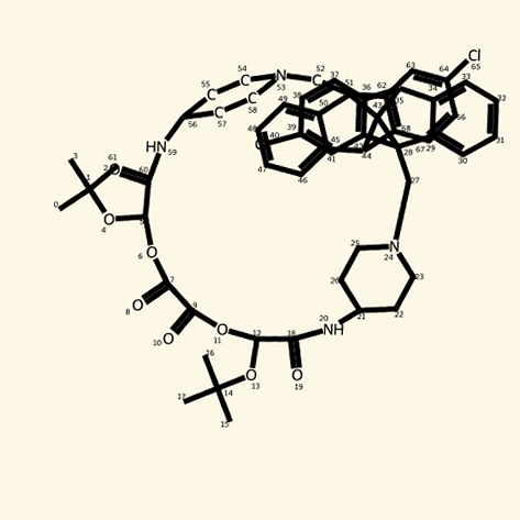 CC(C)(C)OC1OC(=O)C(=O)OC(OC(C)(C)C)C(=O)NC2CCN(CC2)CC23c4ccccc4C(c4ccc(Cl)cc42)C32C3c4ccccc4C2(CN2CCC(CC2)NC1=O)c1cc(Cl)ccc13